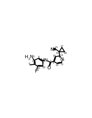 Cc1c(N)cc(NC(=O)c2ccnc(C3(C#N)CC3)c2)cc1F